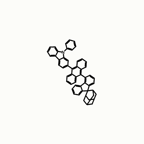 c1ccc(-n2c3ccccc3c3ccc(-c4c5ccccc5c(-c5cccc6c5-c5ccccc5C65C6CC7CC(C6)CC5C7)c5ccccc45)cc32)cc1